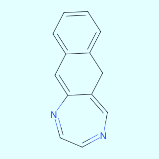 C1=NC=C2Cc3ccccc3C=C2N=C1